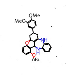 CCCCOc1ccccc1C1Nc2ccccc2NC2=C1C(=O)CC(c1ccc(OC)c(OC)c1)C2